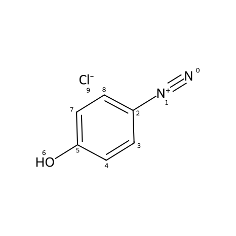 N#[N+]c1ccc(O)cc1.[Cl-]